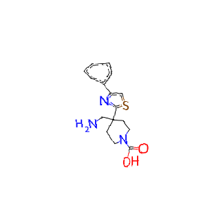 NCC1(c2nc(-c3ccccc3)cs2)CCN(C(=O)O)CC1